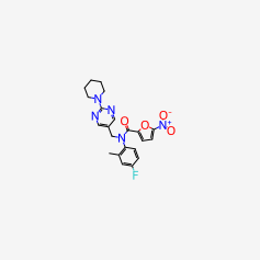 Cc1cc(F)ccc1N(Cc1cnc(N2CCCCC2)nc1)C(=O)c1ccc([N+](=O)[O-])o1